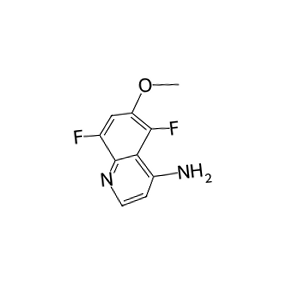 COc1cc(F)c2nccc(N)c2c1F